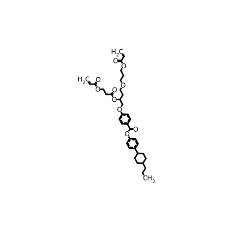 C=CC(=O)OCCCOCCC(COc1ccc(C(=O)Oc2ccc(C3CCC(CCC)CC3)cc2)cc1)OC(=O)CCOC(=O)C=C